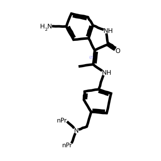 CCCN(CCC)Cc1ccc(N/C(C)=C2\C(=O)Nc3ccc(N)cc32)cc1